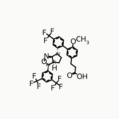 COc1ccc(CCC(=O)O)cc1-c1ccc(C(F)(F)F)cc1[C@@H]1CC[C@@H]2C1=NO[C@@H]2c1cc(C(F)(F)F)cc(C(F)(F)F)c1